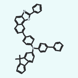 CC1(C)c2ccccc2-c2ccc(N(c3ccc(-c4ccccc4)cc3)c3ccc(-c4ccc5ccc6nc(-c7ccccc7)oc6c5c4)cc3)cc21